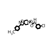 Cc1ccc(C2=NOC3(CCN(OC(=O)Nc4cccc(Cl)c4)CC3)C2)cc1